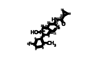 Cc1ccc(F)cc1-c1cc2cnc(NC(=O)C3CC3)cc2c[n+]1O